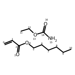 C=CC(=O)OCCCCCC.CCOC(N)=O